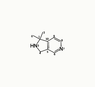 CC1(C)NCc2cnccc21